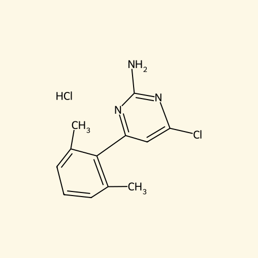 Cc1cccc(C)c1-c1cc(Cl)nc(N)n1.Cl